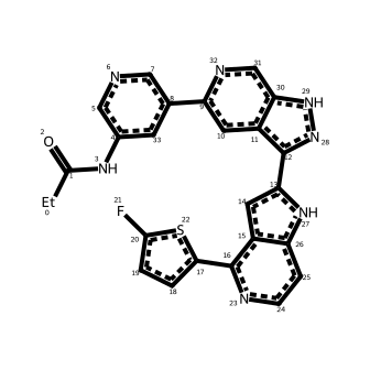 CCC(=O)Nc1cncc(-c2cc3c(-c4cc5c(-c6ccc(F)s6)nccc5[nH]4)n[nH]c3cn2)c1